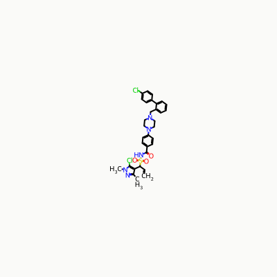 C=CC(c1c(C)nn(C)c1Cl)S(=O)(=O)NC(=O)c1ccc(N2CCN(Cc3ccccc3-c3ccc(Cl)cc3)CC2)cc1